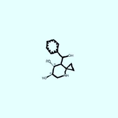 OC(c1ccccc1)C1[C@@H](O)[C@H](O)CNC12CC2